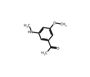 CNc1cc(OC)cc(C(C)=O)c1